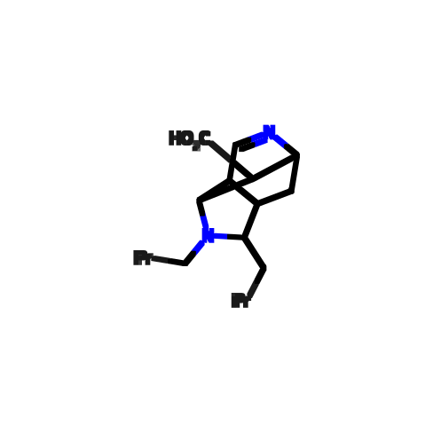 CC(C)CC1C2CC3N=CC2C(C3C(=O)O)N1CC(C)C